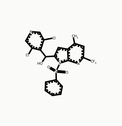 Cc1cc(C(F)(F)F)nc2c1cc(C(O)c1c(Cl)[c]ncc1Cl)n2S(=O)(=O)c1ccccc1